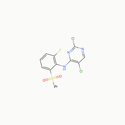 CC(C)S(=O)(=O)c1cccc(F)c1Nc1nc(Cl)ncc1Cl